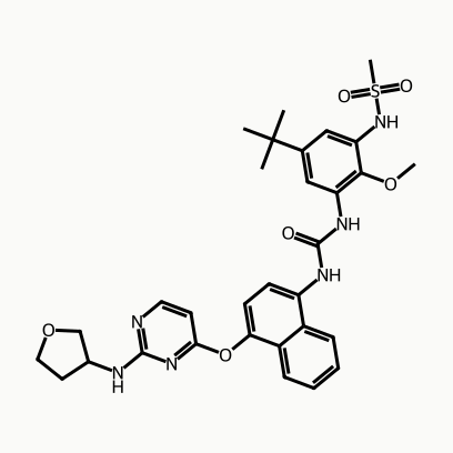 COc1c(NC(=O)Nc2ccc(Oc3ccnc(NC4CCOC4)n3)c3ccccc23)cc(C(C)(C)C)cc1NS(C)(=O)=O